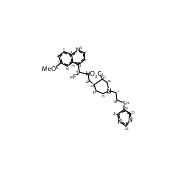 COc1ccc2nccc([C@H](F)CC[C@@H]3CCN(CCSc4cncnc4)C[C@@H]3C(=O)O)c2c1